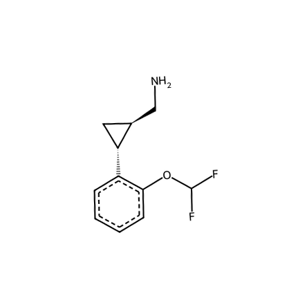 NC[C@@H]1C[C@H]1c1ccccc1OC(F)F